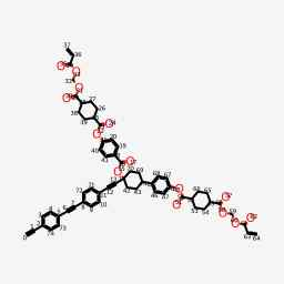 C#Cc1ccc(C#Cc2ccc(C#CC3(OC(=O)c4ccc(OC(=O)C5CCC(C(=O)OCOC(=O)C=C)CC5)cc4)CCC(c4ccc(OC(=O)C5CCC(C(=O)OCOC(=O)C=C)CC5)cc4)CC3)cc2)cc1